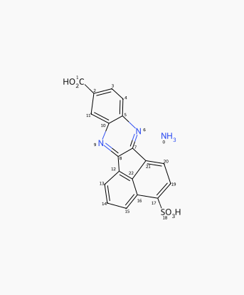 N.O=C(O)c1ccc2nc3c(nc2c1)-c1cccc2c(S(=O)(=O)O)ccc-3c12